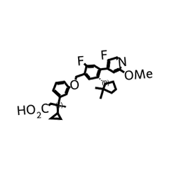 COc1cc(-c2cc(F)c(COc3cccc([C@@](C)(CC(=O)O)C4CC4)c3)cc2[C@@H]2CCCC2(C)C)c(F)cn1